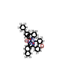 C1=C(c2nc(-c3ccc(-c4ccccc4)cc3)nc(-c3cccc4oc5cccc(-c6ccc7oc8ccc9ccccc9c8c7c6)c5c34)n2)CCc2ccccc21